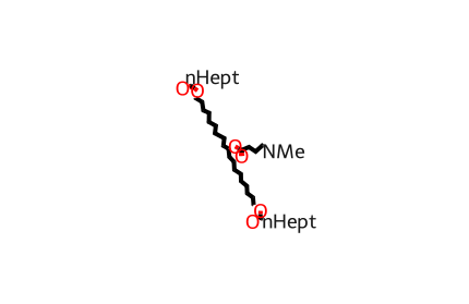 CCCCCCCC(=O)OCCCCCCCCCC(CCCCCCCCCOC(=O)CCCCCCC)OC(=O)CCCNC